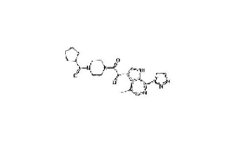 O=C(C(=O)N1CCN(C(=O)C2CCCC2)CC1)c1c[nH]c2c(-n3ccnn3)ncc(F)c12